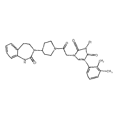 CCn1c(=O)c(-c2cccc(C)c2C)cn(CC(=O)N2CCC(N3CCc4ccccc4NC3=O)CC2)c1=O